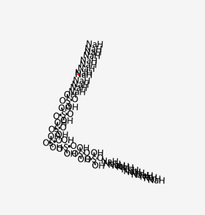 O=S(=O)(O)O.O=S(=O)(O)O.O=S(=O)(O)O.O=S(=O)(O)O.O=S(=O)(O)O.O=S(=O)(O)O.O=S(=O)(O)O.[NaH].[NaH].[NaH].[NaH].[NaH].[NaH].[NaH].[NaH].[NaH].[NaH].[NaH].[NaH].[NaH].[NaH].[NaH].[NaH].[NaH].[NaH].[NaH].[NaH].[NaH].[NaH].[NaH].[NaH].[NaH].[NaH]